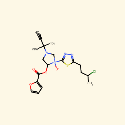 C#CC(CCCC)(CCCC)N1CC(OC(=O)c2ccco2)[N+]([O-])(c2nnc(CCC(C)Cl)s2)C1